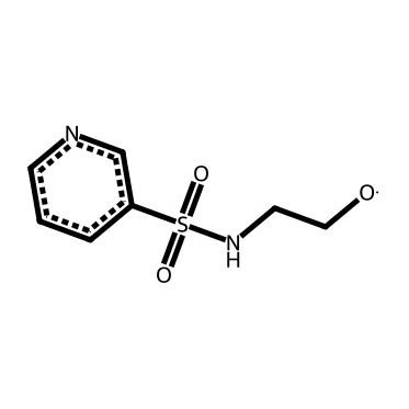 [O]CCNS(=O)(=O)c1cccnc1